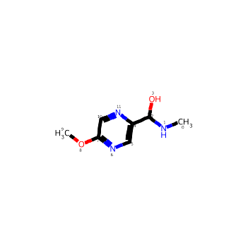 CNC(O)c1cnc(OC)cn1